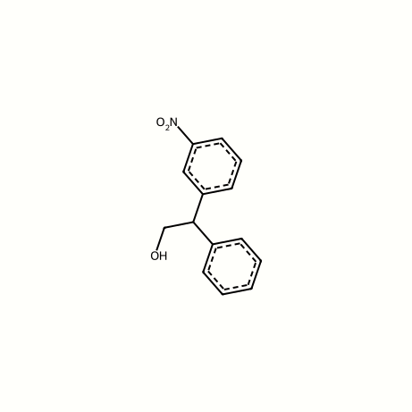 O=[N+]([O-])c1cccc(C(CO)c2ccccc2)c1